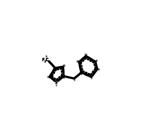 FC(F)(F)c1csc(Cc2ccccc2)c1